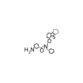 Nc1cccc(C(=O)CN(CCOc2cccc3c4c(sc23)CCCC4)Cc2ccccc2)c1